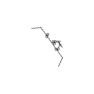 CCCCCCCC/C=C\CCCCCCCC(=O)OCCCCCCC(CCCCCCOC(=O)CCCCCCC/C=C\CCCCCCCC)OC(=O)OCCN(CC)CCN(CCC)CCC